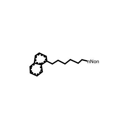 [CH2]CCCCCCCCCCCCCCc1cccc2ccccc12